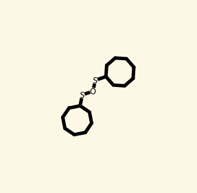 C1CCCC(SOSC2CCCCCCC2)CCC1